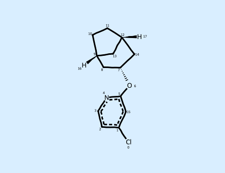 Clc1ccnc(O[C@@H]2C[C@@H]3CC[C@@H](C3)C2)c1